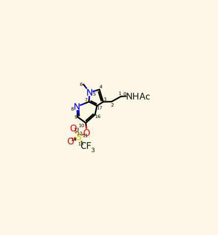 CC(=O)NCCc1cn(C)c2ncc(OS(=O)(=O)C(F)(F)F)cc12